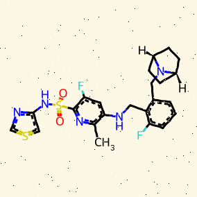 Cc1nc(S(=O)(=O)Nc2cscn2)c(F)cc1NCc1c(F)cccc1CN1[C@H]2CC[C@@H]1CC2